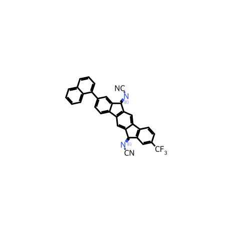 N#C/N=c1\c2cc(-c3cccc4ccccc34)ccc2c2cc3/c(=N/C#N)c4cc(C(F)(F)F)ccc4c3cc12